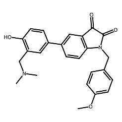 COc1ccc(CN2C(=O)C(=O)c3cc(-c4ccc(O)c(CN(C)C)c4)ccc32)cc1